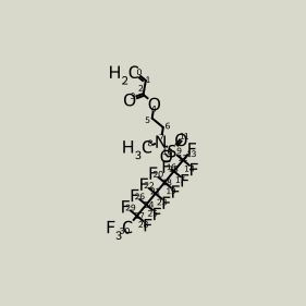 C=CC(=O)OCCN(C)S(=O)(=O)C(F)(F)C(F)(F)C(F)(F)C(F)(F)C(F)(F)C(F)(F)C(F)(F)F